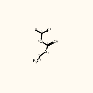 CC(F)OC(=O)SCC(F)(F)F